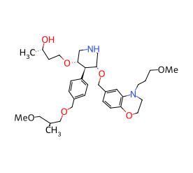 COCCCN1CCOc2ccc(CO[C@H]3CNC[C@@H](OCC[C@H](C)O)[C@@H]3c3ccc(COC[C@@H](C)COC)cc3)cc21